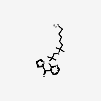 CC(C)(CCCCCN)SCC(C)(C)Sc1ncccc1C(=O)c1cccs1